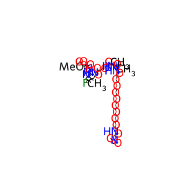 CO[C@@H]1C(=O)OCc2c1cc1n(c2=O)Cc2c-1nc1cc(F)c(C)c3c1c2[C@@H](NC(=O)[C@H](O)CCOCNC(=O)[C@H](C)NC(=O)[C@H](C)NC(=O)CCOCCOCCOCCOCCOCCOCCOCCOCCNC(=O)CCN1C(=O)C=CC1=O)CC3